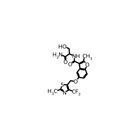 Cc1nc(C(F)(F)F)c(COc2ccc3oc(C)c(C(=O)NC(CO)C(N)=O)c3c2)s1